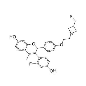 CC1=C(c2ccc(O)cc2F)C(c2ccc(OCCN3CC(CF)C3)cc2)Oc2cc(O)ccc21